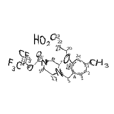 Cc1ccc(CN2CCN(C(=O)OC(C(F)(F)F)C(F)(F)F)CC2)c(OCCCC(=O)O)c1